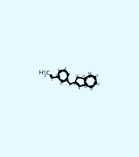 C=Cc1cccc(CC2=Cc3ccccc3C2)c1